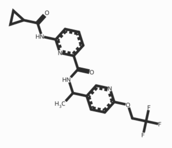 CC(NC(=O)c1cccc(NC(=O)C2CC2)n1)c1ccc(OCC(F)(F)F)nc1